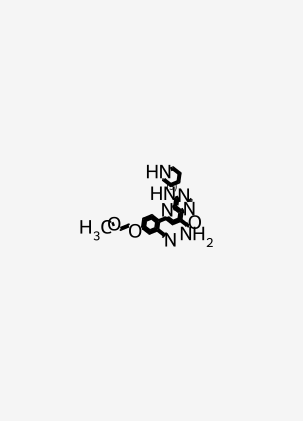 COCCOc1ccc(-c2cc(C(N)=O)c3ncnc(N[C@H]4CCCNC4)c3n2)c(C#N)c1